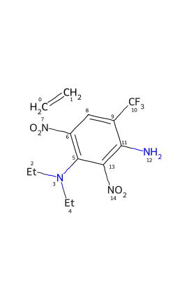 C=C.CCN(CC)c1c([N+](=O)[O-])cc(C(F)(F)F)c(N)c1[N+](=O)[O-]